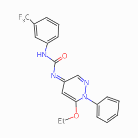 CCOc1cc(=NC(=O)Nc2cccc(C(F)(F)F)c2)cnn1-c1ccccc1